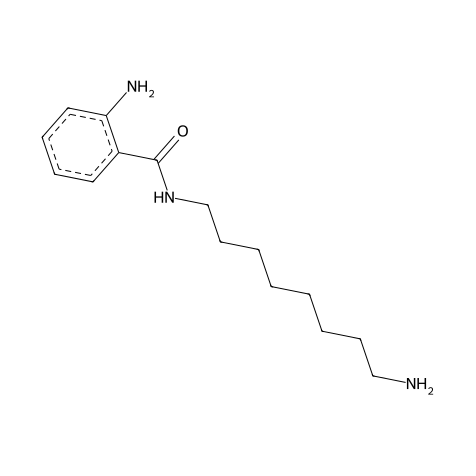 NCCCCCCCCNC(=O)c1ccccc1N